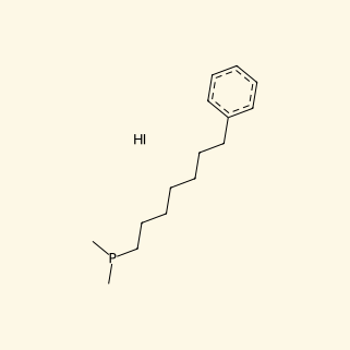 CP(C)CCCCCCCc1ccccc1.I